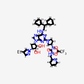 CCc1cnn([C@H]2C[C@@H](n3cnc4c(NCC(c5ccccc5)c5ccccc5)nc(N5CC[C@@H](N(OC(=O)C(F)(F)F)C(=O)NCc6ccccn6)C5)nc43)[C@H](O)[C@@H]2O)c1